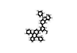 CCc1cc(-c2ccc3c(-c4ccccc4)c4ccccc4c(-c4ccccc4)c3c2)cc(-c2ccc3c(c2)c2cccnc2n3-c2ccccc2)c1